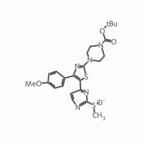 COc1ccc(-c2nc(N3CCN(C(=O)OC(C)(C)C)CC3)sc2-c2ccnc([S+](C)[O-])n2)cc1